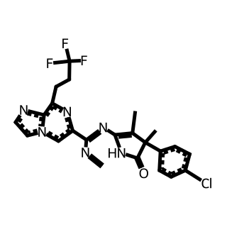 C=N/C(=N\C1=C(C)C(C)(c2ccc(Cl)cc2)C(=O)N1)c1cn2ccnc2c(CCC(F)(F)F)n1